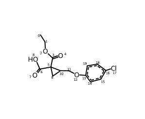 CCOC(=O)C1(C(=O)O)CC1COc1ccc(Cl)cc1